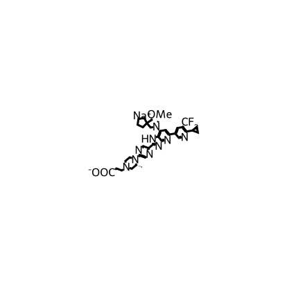 COCC1(CN(C)c2cc(-c3cnc(C4CC4)c(C(F)(F)F)c3)nc3nc(-c4cnc(N5CCN(CCC(=O)[O-])C[C@H]5C)cn4)[nH]c23)CCCC1.[Na+]